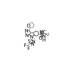 N#CC1(NS(=O)(=O)c2ccc3c4c(C5CCCCO5)ncnc4n(-c4nnc(C(F)F)s4)c3c2)CC1